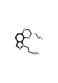 CNCCn1ncc2ccc3c(c21)O[C@@H](CN)CO3